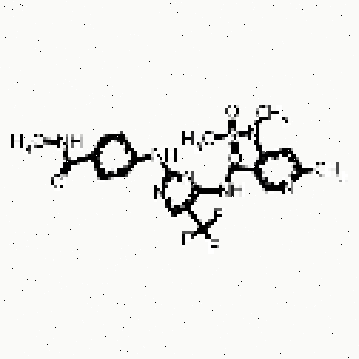 CNC(=O)c1ccc(Nc2ncc(C(F)(F)F)c(NCc3cnc(C)cc3N(C)S(C)(=O)=O)n2)cc1